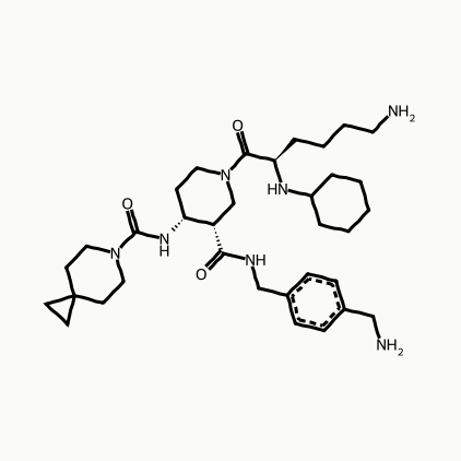 NCCCC[C@@H](NC1CCCCC1)C(=O)N1CC[C@@H](NC(=O)N2CCC3(CC2)CC3)[C@@H](C(=O)NCc2ccc(CN)cc2)C1